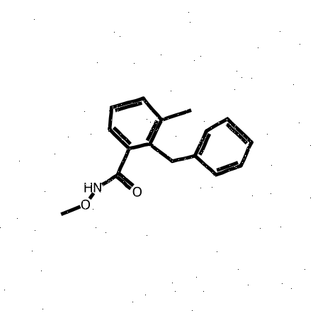 CONC(=O)c1cccc(C)c1Cc1ccccc1